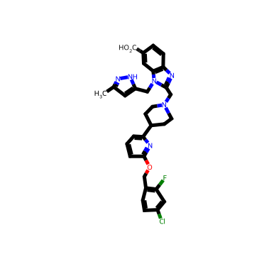 Cc1cc(Cn2c(CN3CCC(c4cccc(OCc5ccc(Cl)cc5F)n4)CC3)nc3ccc(C(=O)O)cc32)[nH]n1